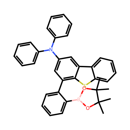 CC1(C)OB(c2ccccc2-c2cc(N(c3ccccc3)c3ccccc3)cc3c2sc2ccccc23)OC1(C)C